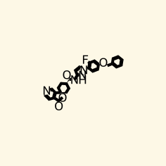 O=C1O[C@]2(CC[C@@H](C(=O)Nc3ccn(-c4ccc(OCc5ccccc5)cc4F)n3)CC2)c2cnccc21